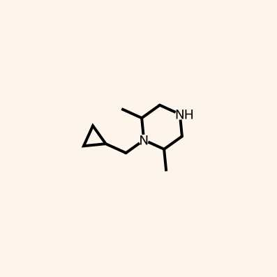 CC1CNCC(C)N1CC1CC1